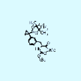 COC(=O)[C@H](Cc1cccc(C2(B3OC(C)(C)C(C)(C)O3)CC2)c1)NC(=O)OC(C)(C)C